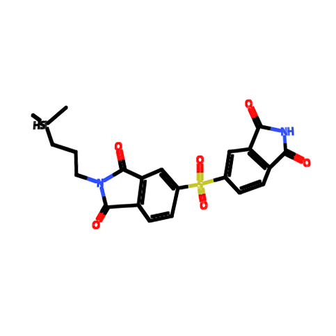 C[SiH](C)CCCN1C(=O)c2ccc(S(=O)(=O)c3ccc4c(c3)C(=O)NC4=O)cc2C1=O